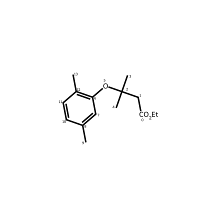 CCOC(=O)CC(C)(C)Oc1cc(C)ccc1C